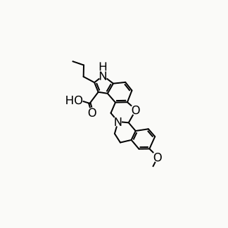 CCCc1[nH]c2ccc3c(c2c1C(=O)O)CN1CCc2cc(OC)ccc2C1O3